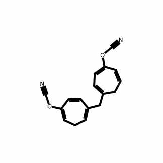 N#COC1=CC=C(CC2=CCC=C(OC#N)C=C2)CC=C1